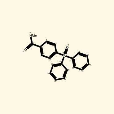 CNC(=O)c1ccc(P(=O)(c2ccccc2)c2ccccc2)cc1